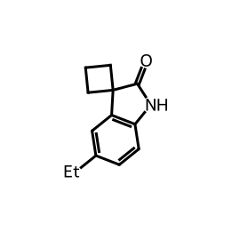 CCc1ccc2c(c1)C1(CCC1)C(=O)N2